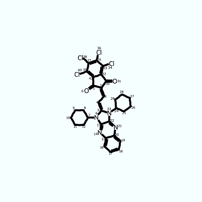 O=C1C(=CC=C2N(C3CCCCC3)c3nc4ccccc4nc3N2C2CCCCC2)C(=O)c2c(Cl)c(Cl)c(Cl)c(Cl)c21